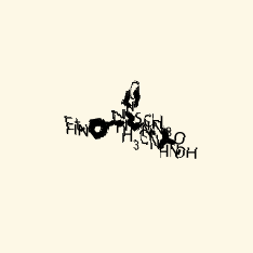 CCNc1ccc(-c2nc(N3CCOCC3)c3sc([N+](C)(C)c4ncc(C(=O)NO)cn4)cc3n2)cc1